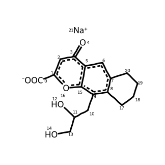 O=C([O-])c1cc(=O)c2cc3c(c(CC(O)CO)c2o1)CCCC3.[Na+]